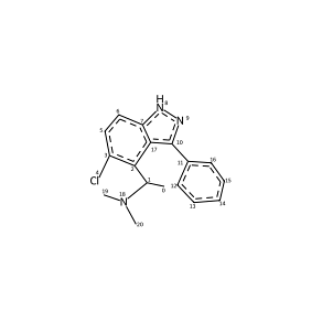 CC(c1c(Cl)ccc2[nH]nc(-c3ccccc3)c12)N(C)C